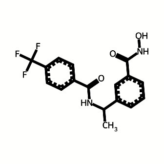 CC(NC(=O)c1ccc(C(F)(F)F)cc1)c1cccc(C(=O)NO)c1